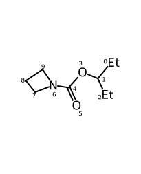 CCC(CC)OC(=O)N1CCC1